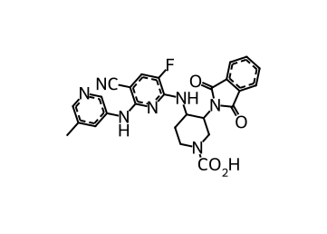 Cc1cncc(Nc2nc(NC3CCN(C(=O)O)CC3N3C(=O)c4ccccc4C3=O)c(F)cc2C#N)c1